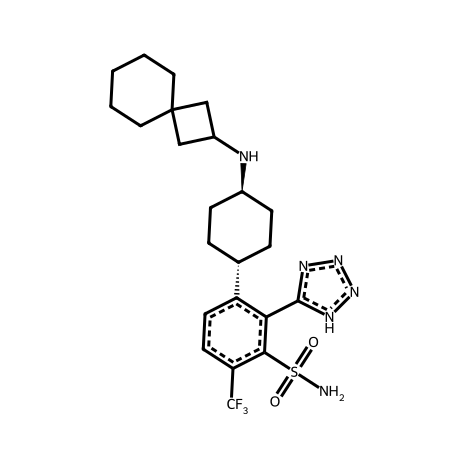 NS(=O)(=O)c1c(C(F)(F)F)ccc([C@H]2CC[C@H](NC3CC4(CCCCC4)C3)CC2)c1-c1nnn[nH]1